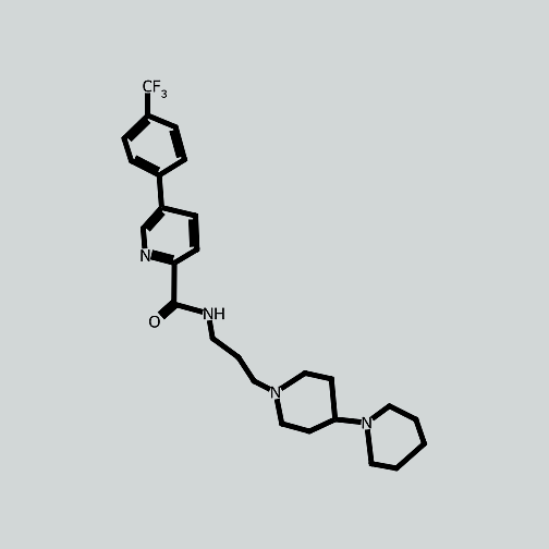 O=C(NCCCN1CCC(N2CCCCC2)CC1)c1ccc(-c2ccc(C(F)(F)F)cc2)cn1